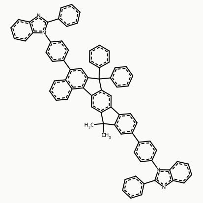 CC1(C)c2cc(-c3ccc(-n4c(-c5ccccc5)nc5ccccc54)cc3)ccc2-c2cc3c(cc21)-c1c(cc(-c2ccc(-n4c(-c5ccccc5)nc5ccccc54)cc2)c2ccccc12)C3(c1ccccc1)c1ccccc1